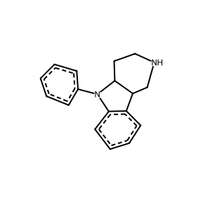 c1ccc(N2c3ccccc3C3CNCCC32)cc1